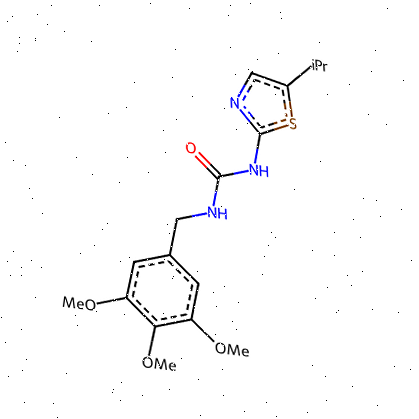 COc1cc(CNC(=O)Nc2ncc(C(C)C)s2)cc(OC)c1OC